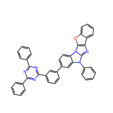 c1ccc(-c2nc(-c3ccccc3)nc(-c3cccc(-c4ccc5c(c4)n(-c4ccccc4)c4nc6c7ccccc7oc6n54)c3)n2)cc1